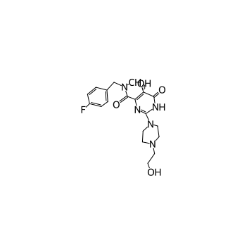 CN(Cc1ccc(F)cc1)C(=O)c1nc(N2CCN(CCO)CC2)[nH]c(=O)c1O